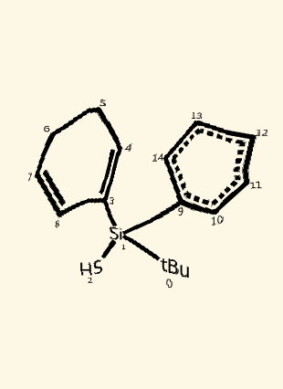 CC(C)(C)[Si](S)(C1=CCCC=C1)c1ccccc1